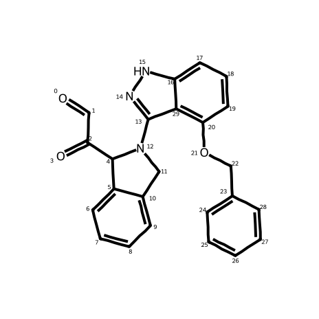 O=CC(=O)C1c2ccccc2CN1c1n[nH]c2cccc(OCc3ccccc3)c12